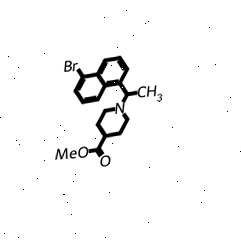 COC(=O)C1CCN(C(C)c2cccc3c(Br)cccc23)CC1